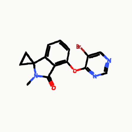 CN1C(=O)c2c(Oc3ncncc3Br)cccc2C12CC2